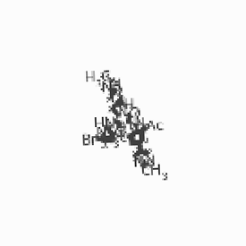 CC(=O)c1nn(CC(=O)N2[C@H](C(=O)Nc3nc(Br)ccc3Cl)C[C@@]3(Cc4nc(C)no4)C[C@@H]23)c2c(C)cc(-c3cnc(C)nc3)cc12